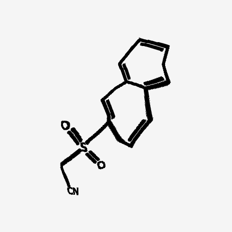 N#CCS(=O)(=O)c1ccc2ccccc2c1